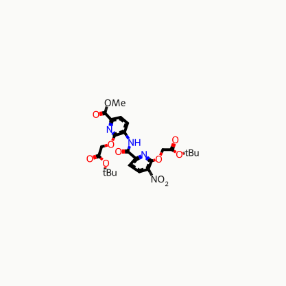 COC(=O)c1ccc(NC(=O)c2ccc([N+](=O)[O-])c(OCC(=O)OC(C)(C)C)n2)c(OCC(=O)OC(C)(C)C)n1